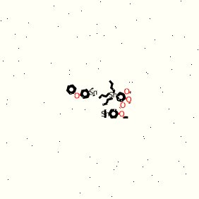 CCC[CH2][Sn]([CH2]CCC)([CH2]CCC)[c]1cc(OC)c(OC)c(OC)c1.CCOc1cc[c]([Sn]([CH3])([CH3])[CH3])cc1.[CH3][Sn]([CH3])([CH3])[c]1ccc(Oc2ccccc2)cc1